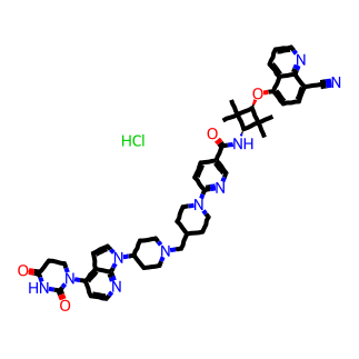 CC1(C)[C@H](NC(=O)c2ccc(N3CCC(CN4CCC(n5ccc6c(N7CCC(=O)NC7=O)ccnc65)CC4)CC3)nc2)C(C)(C)[C@H]1Oc1ccc(C#N)c2ncccc12.Cl